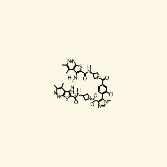 Cc1nnc2sc(C(=O)NC3CN(C(=O)c4ccc(-c5c(S(=O)(=O)N6CC(NC(=O)c7sc8nnc(C)c(C)c8c7N)C6)ncn5C)c(Cl)c4)C3)c(N)c2c1C